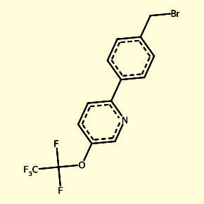 FC(F)(F)C(F)(F)Oc1ccc(-c2ccc(CBr)cc2)nc1